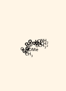 C=C(C(N)=O)N(C)c1cnc2cc(-c3cccc(-c4cccc(-c5ccc(CN(C)[C@H]6CCC(=O)N6)c(OC)n5)c4Cl)c3Cl)ccn2c1=O